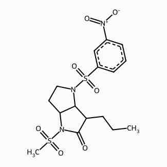 CCCC1C(=O)N(S(C)(=O)=O)C2CCN(S(=O)(=O)c3cccc([N+](=O)[O-])c3)C12